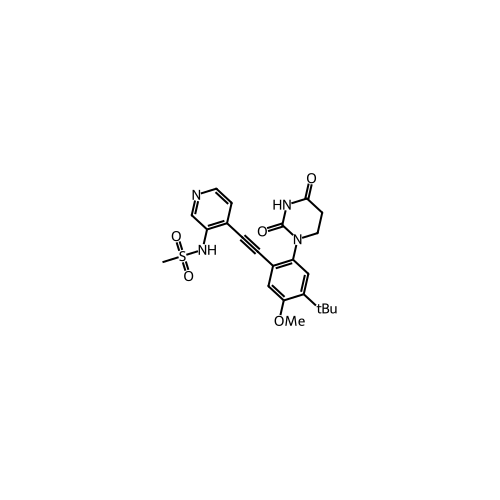 COc1cc(C#Cc2ccncc2NS(C)(=O)=O)c(N2CCC(=O)NC2=O)cc1C(C)(C)C